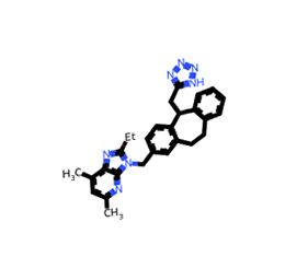 CCc1nc2c(C)cc(C)nc2n1Cc1ccc2c(c1)CCc1ccccc1C2Cc1nnn[nH]1